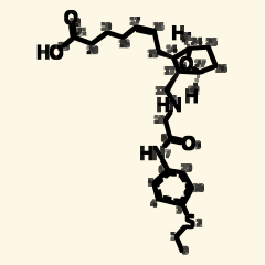 CCSc1ccc(NC(=O)CNC[C@H]2[C@@H](C/C=C\CCCC(=O)O)[C@H]3CC[C@@H]2O3)cc1